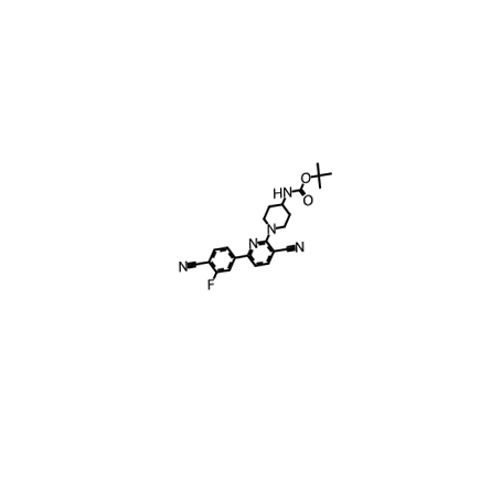 CC(C)(C)OC(=O)NC1CCN(c2nc(-c3ccc(C#N)c(F)c3)ccc2C#N)CC1